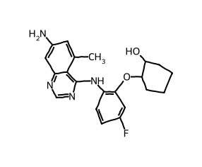 Cc1cc(N)cc2ncnc(Nc3ccc(F)cc3OC3CCCCC3O)c12